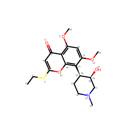 CCSc1cc(=O)c2c(OC)cc(OC)c([C@@H]3CCN(C)C[C@@H]3O)c2o1